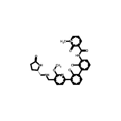 COc1nc(-c2cccc(-c3cccc(NC(=O)c4cccn(C)c4=O)c3Cl)c2Cl)ccc1CNC[C@@H]1CCC(=O)N1